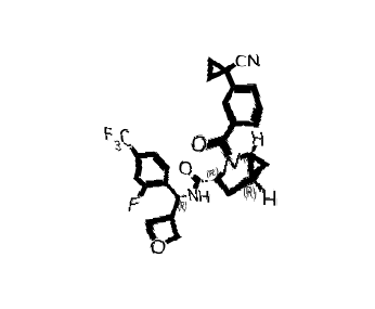 N#CC1(c2cccc(C(=O)N3[C@@H](C(=O)N[C@@H](c4ccc(C(F)(F)F)cc4F)C4COC4)C[C@H]4C[C@H]43)c2)CC1